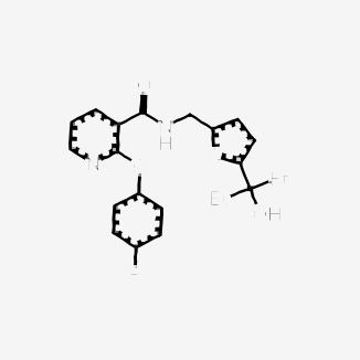 CCC(O)(CC)c1ccc(CNC(=O)c2cccnc2Oc2ccc(F)cc2)s1